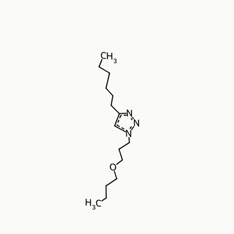 CCCCCCc1cn(CCCOCCCC)nn1